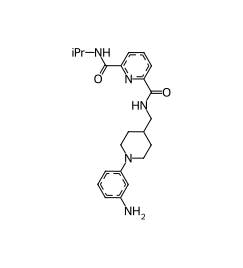 CC(C)NC(=O)c1cccc(C(=O)NCC2CCN(c3cccc(N)c3)CC2)n1